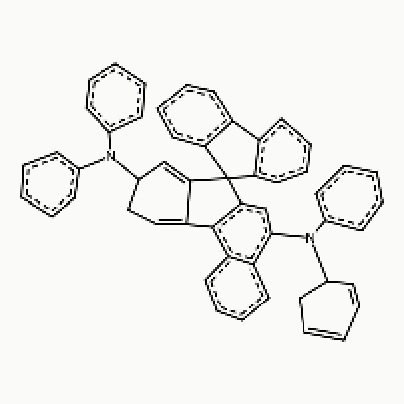 C1=CCC(N(c2ccccc2)c2cc3c(c4ccccc24)C2=CCC(N(c4ccccc4)c4ccccc4)C=C2C32c3ccccc3-c3ccccc32)C=C1